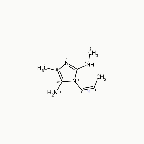 C/C=C\n1c(NC)nc(C)c1N